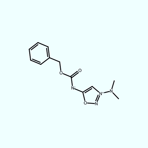 CN(C)[n+]1cc([N-]C(=O)OCc2ccccc2)on1